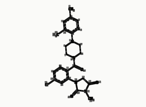 Cc1cnc(N2CCN(C(=O)c3ccc(Cl)cc3N3CC(=O)N(C)C3=O)CC2)c(C)c1